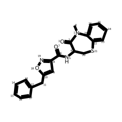 CN1C(=O)C(NC(=O)c2cc(Cc3ccccc3)on2)CSc2ccccc21